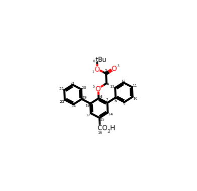 CC(C)(C)OC(=O)COc1c(-c2ccccc2)cc(C(=O)O)cc1-c1ccccc1